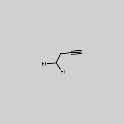 C#CCC(C[CH2])CC